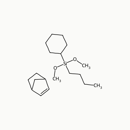 C1=CC2CCC1C2.CCCC[Si](OC)(OC)C1CCCCC1